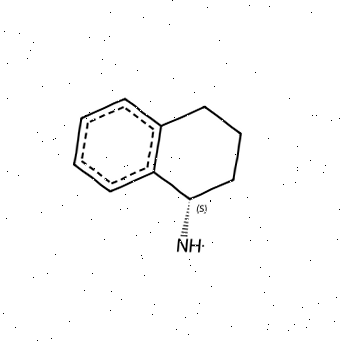 [NH][C@H]1CCCc2ccccc21